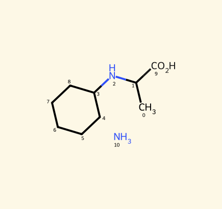 CC(NC1CCCCC1)C(=O)O.N